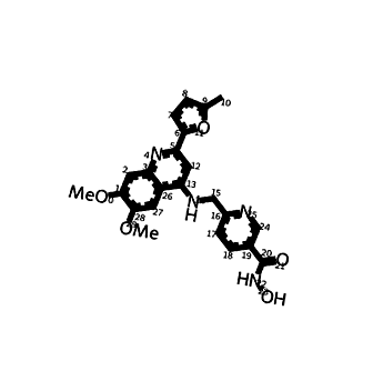 COc1cc2nc(-c3ccc(C)o3)cc(NCc3ccc(C(=O)NO)cn3)c2cc1OC